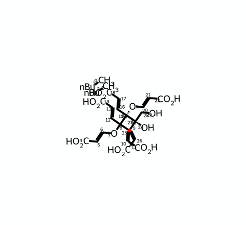 CCCCC.CCCCC.O=C(O)C=COC(C=CC(=O)O)(C=CC(=O)O)[C@](C=CC(=O)O)(OC=CC(=O)O)[C@@](O)(C=CC(=O)O)CO